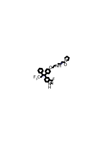 O=C(/C=C/CNCCOc1ccc(/C(=C(/CC(F)(F)F)c2ccccc2)c2ccc3[nH]nc(F)c3c2)cc1)N1CCCC1